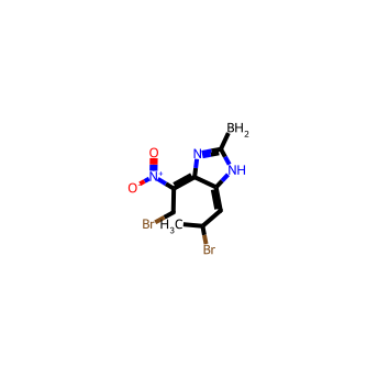 Bc1nc(=C(/CBr)[N+](=O)[O-])/c(=C\C(C)Br)[nH]1